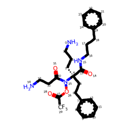 NCCC[C@@](CCc1ccccc1)(C(=O)NCCCc1ccccc1)N(OC(=O)C(F)(F)F)C(=O)CCN